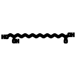 O=C(O)CCCCCCCCCCCCCC(O)CO